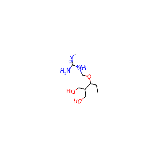 CCC(OCN/C(N)=N\C)C(CO)CO